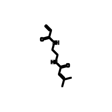 C=CC(=O)NCCNC(=O)C=C(C)C